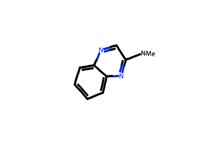 CNc1cnc2ccccc2n1